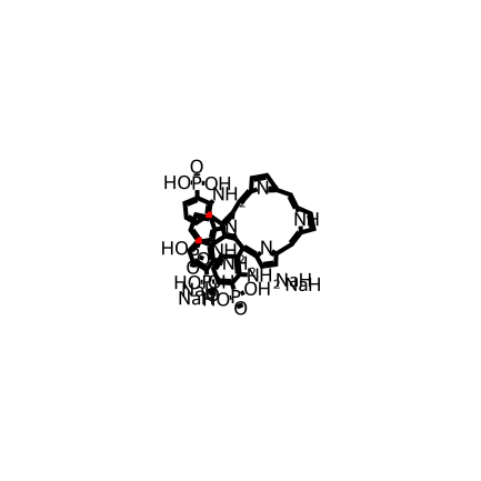 Nc1c(-c2c(-c3cccc(P(=O)(O)O)c3N)c3c(-c4cccc(P(=O)(O)O)c4N)c4nc(cc5ccc(cc6nc(cc2n3-c2cccc(P(=O)(O)O)c2N)C=C6)[nH]5)C=C4)cccc1P(=O)(O)O.[NaH].[NaH].[NaH].[NaH]